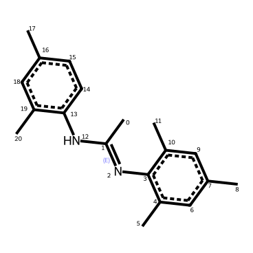 C/C(=N\c1c(C)cc(C)cc1C)Nc1ccc(C)cc1C